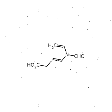 C=CN(C=O)C=CCC(=O)O